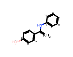 Bc1ccc(C(=C)Nc2ccccc2)cc1